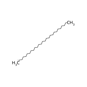 C[CH]CCCCCCCCCCCCCCCCCCCCCCCCC